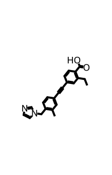 CCc1cc(C#Cc2ccc(Cn3ccnc3)c(C)c2)ccc1C(=O)O